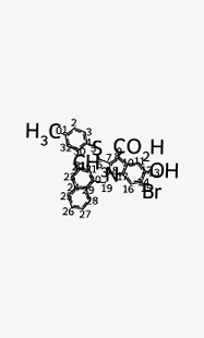 Cc1ccc(SCc2c(C(=O)O)c3cc(O)c(Br)cc3n2Cc2cccc3ccccc23)c(C)c1